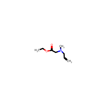 C=CCN(C)CC(=O)OCC